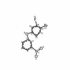 O=[N+]([O-])c1cccc(Oc2ccc(Br)c(F)c2)c1